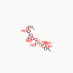 COc1ccc(-c2cc(=O)c3c(O)cc(OC4CC(O)CC(CO[C@@H]5OC(C)[C@H](O)C(O)C5O)O4)cc3o2)cc1O